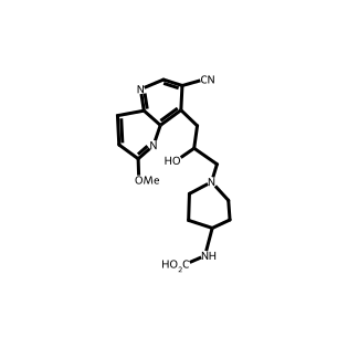 COc1ccc2ncc(C#N)c(CC(O)CN3CCC(NC(=O)O)CC3)c2n1